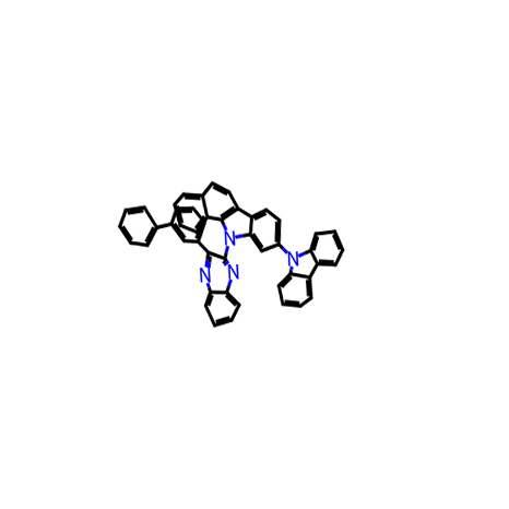 c1ccc(-c2cccc(-c3nc4ccccc4nc3-n3c4cc(-n5c6ccccc6c6ccccc65)ccc4c4ccc5ccccc5c43)c2)cc1